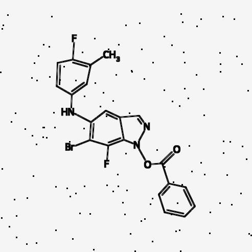 Cc1cc(Nc2cc3cnn(OC(=O)c4ccccc4)c3c(F)c2Br)ccc1F